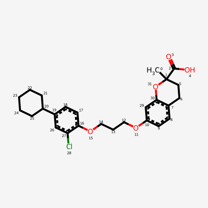 CC1(C(=O)O)CCc2ccc(OCCCOc3ccc(C4CCCCC4)cc3Cl)cc2O1